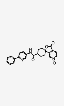 O=C1OC2(CCC(C(=O)Nc3ccc(-c4ccccc4)nc3)CC2)c2c[n+]([O-])ccc21